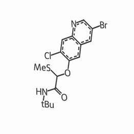 CSC(Oc1cc2cc(Br)cnc2cc1Cl)C(=O)NC(C)(C)C